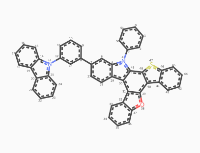 c1ccc(-n2c3cc(-c4cccc(-n5c6ccccc6c6ccccc65)c4)ccc3c3c4c5ccccc5oc4c4c5ccccc5sc4c32)cc1